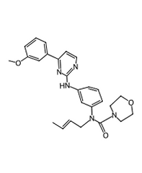 C/C=C/CN(C(=O)N1CCOCC1)c1cccc(Nc2nccc(-c3cccc(OC)c3)n2)c1